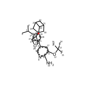 CC(C)n1nc(-c2cnc(N)c(OC(F)(F)F)c2)cc1C1C2CC1CN(C1COC1)C2